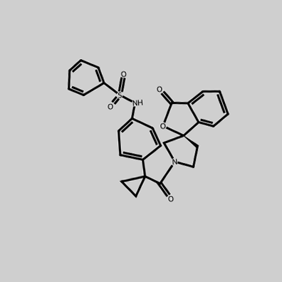 O=C1O[C@]2(CCN(C(=O)C3(c4ccc(NS(=O)(=O)c5ccccc5)cc4)CC3)C2)c2ccccc21